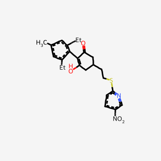 CCc1cc(C)cc(CC)c1C1=C(O)CC(CCSc2ccc([N+](=O)[O-])cn2)CC1=O